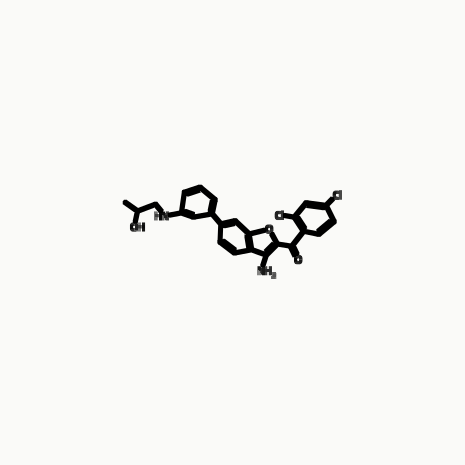 CC(O)CNc1cccc(-c2ccc3c(N)c(C(=O)c4ccc(Cl)cc4Cl)oc3c2)c1